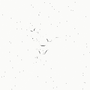 CCOC(=O)c1ccc(C(F)(F)F)nc1N1CCS(=O)(=O)CC1